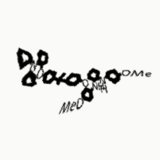 COc1ccc(Nc2cccc(Oc3ccc(C(C)(C)c4ccc(Oc5ccccc5N(c5ccccc5)c5ccccc5)cc4)cc3)c2Nc2ccc(OC)cc2)cc1